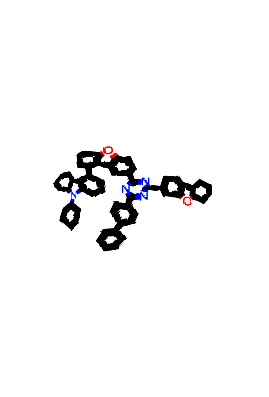 C1=CC2c3c(-c4cccc5oc6ccc(-c7nc(-c8ccc(-c9ccccc9)cc8)nc(-c8ccc9c(c8)oc8ccccc89)n7)cc6c45)cccc3N(c3ccccc3)C2C=C1